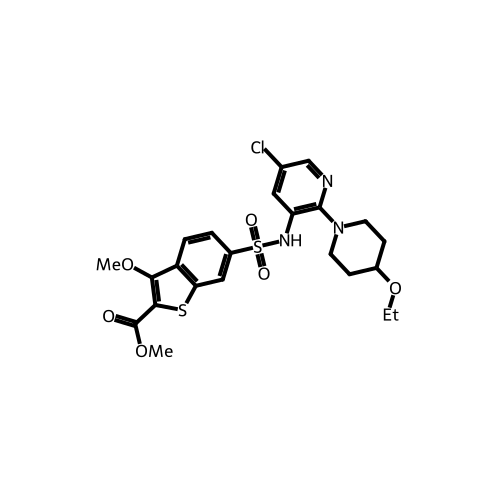 CCOC1CCN(c2ncc(Cl)cc2NS(=O)(=O)c2ccc3c(OC)c(C(=O)OC)sc3c2)CC1